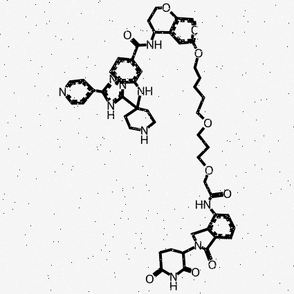 O=C1CCC(N2Cc3c(NC(=O)COCCCOCCCCCOc4ccc5c(c4)C(NC(=O)c4cccc(NC6(c7nnc(-c8ccncc8)[nH]7)CCNCC6)c4)CCO5)cccc3C2=O)C(=O)N1